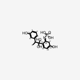 CC(c1cccc(O)c1)C(O)(O)C1=CC=C(O)CC1=NP(=O)(O)O